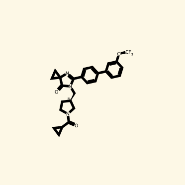 O=C(C1CC1)N1CC[C@@H](CN2C(=O)C3(CC3)N=C2c2ccc(-c3cccc(OC(F)(F)F)c3)cc2)C1